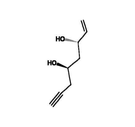 C#CC[C@@H](O)C[C@H](O)C=C